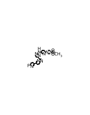 CCS(=O)(=O)N1CCN(c2ccc(Nc3nccc(-c4cnc5ccc(-c6ccc(F)nc6)cn45)n3)cn2)CC1